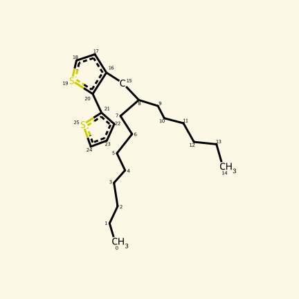 CCCCCCCCC(CCCCCC)Cc1ccsc1-c1cccs1